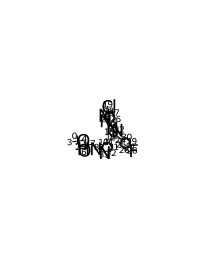 CC(C)(C)OC(=O)CNc1cc(-c2cn(-c3ccc(Cl)nn3)nc2-c2ccc(F)cc2)ccn1